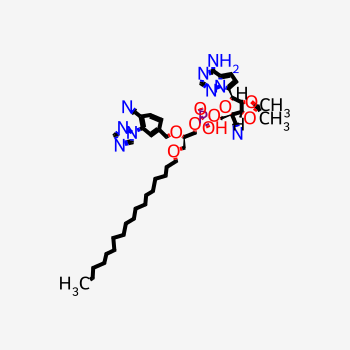 CCCCCCCCCCCCCCCCCCOC[C@H](COP(=O)(O)OC[C@@]1(C#N)O[C@@H](c2ccc3c(N)ncnn23)[C@@H]2OC(C)(C)O[C@@H]21)OCc1ccc(C#N)c(-n2cncn2)c1